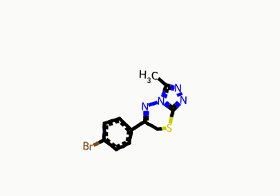 Cc1nnc2n1N=C(c1ccc(Br)cc1)CS2